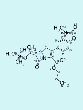 C=CCOC(=O)C1=C(c2ccc3oc(=O)n(C)c3c2)CC2[C@@H]([C@@H](C)O[Si](C)(C)C)C(=O)N12